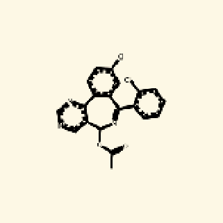 CC(=O)OC1N=C(c2ccccc2Cl)c2cc(Cl)ccc2-c2ncncc21